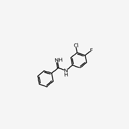 N=C(Nc1ccc(F)c(Cl)c1)c1ccccc1